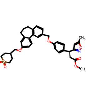 COC(=O)C[C@@H](c1ccc(OCc2ccc3c(c2)-c2ccc(OCC4CCS(=O)(=O)CC4)cc2CCC3)cc1)c1cc(C)on1